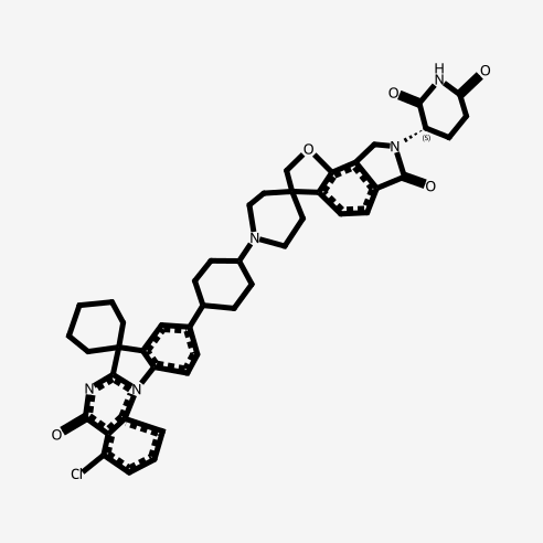 O=C1CC[C@H](N2Cc3c(ccc4c3OCC43CCN(C4CCC(c5ccc6c(c5)C5(CCCCC5)c5nc(=O)c7c(Cl)cccc7n5-6)CC4)CC3)C2=O)C(=O)N1